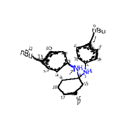 CCCCc1ccc(NC2(Nc3ccc(CCCC)cc3)CCCCC2)cc1